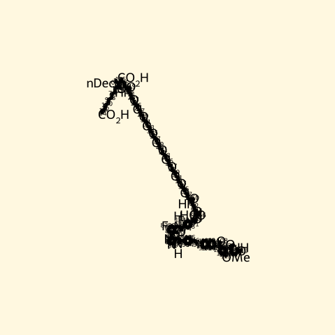 CCCCCCCCCCCN(C(=O)CCCCCCCCCC(=O)O)C(CCC(=O)NCCOCCOCCOCCOCCOCCOCCOCCOCCOCCOCCOCCOCCC(=O)NCCOP(=O)(O)OC(C)(C)c1ccc(C(=O)Nc2cc(F)cc(-c3ncnc4[nH]c(-c5ccc(CCN6CCC7(CC6)CCN(C(=O)c6ccc(OC)c(N8CCC(=O)NC8=O)c6)CC7)cc5)cc34)c2C)c(F)c1)C(=O)O